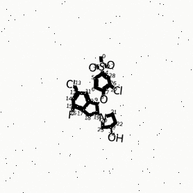 CS(=O)(=O)c1ccc(O[C@H]2c3cc(Cl)cc(F)c3C[C@@H]2N2CC[C@@H](O)C2)c(Cl)c1